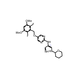 COc1cc(OC)c(F)c(COc2cnc(N/C(C=N)=C/NC3CCCCO3)nc2)c1F